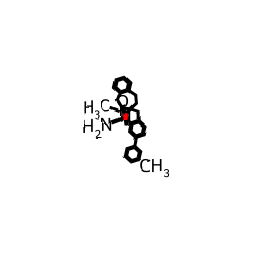 Cc1cccc(-c2ccc3c(c2)C2(N=C(N)N(C)C2=O)C2(CCc4ccccc4CC2)C3)c1